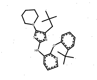 CC(C)(C)Cc1nc(Nc2cccnc2Oc2ccccc2C(C)(C)C)sc1N1CCCCC1